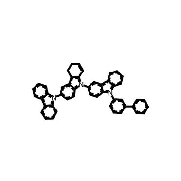 C1=Cc2c(c3cc(-n4c5ccccc5c5ccccc54)ccc3n2-c2ccc3c(c2)c2ccccc2n3-c2cccc(-c3ccccc3)c2)CC1